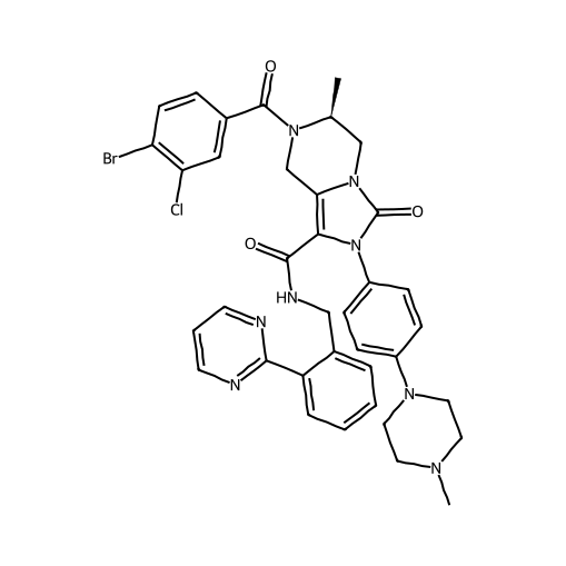 C[C@H]1Cn2c(c(C(=O)NCc3ccccc3-c3ncccn3)n(-c3ccc(N4CCN(C)CC4)cc3)c2=O)CN1C(=O)c1ccc(Br)c(Cl)c1